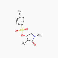 Cc1ccc(S(=O)(=O)OC2CN(C)C(=O)C2C)cc1